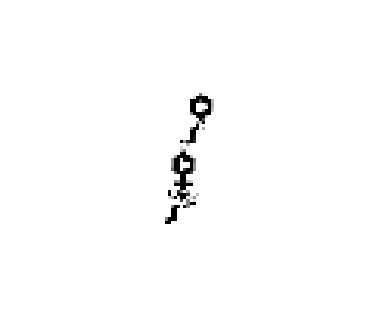 CCCNS(=O)(=O)C(C)(C)c1ccc(OCCOc2ccccc2)cc1